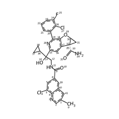 Cc1cnc2c(Cl)cc(C(=O)NCC(O)(c3cc4c(c(-c5cccc(F)c5Cl)n3)OC3C[C@@]43C(N)=O)C3CC3)cc2c1